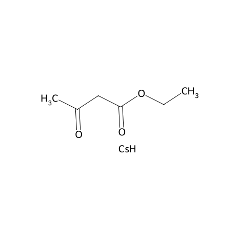 CCOC(=O)CC(C)=O.[CsH]